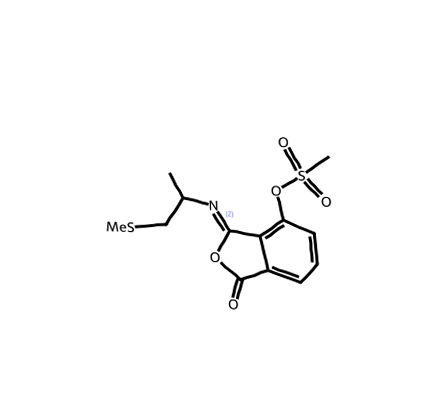 CSCC(C)/N=C1\OC(=O)c2cccc(OS(C)(=O)=O)c21